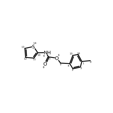 Cc1ccc(COC(=O)Nc2cccs2)cc1